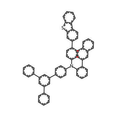 c1ccc(-c2cc(-c3ccccc3)cc(-c3ccc(N(c4ccc(-c5ccc6c(c5)sc5ccccc56)cc4)c4ccccc4-c4ccc5ccccc5c4)cc3)c2)cc1